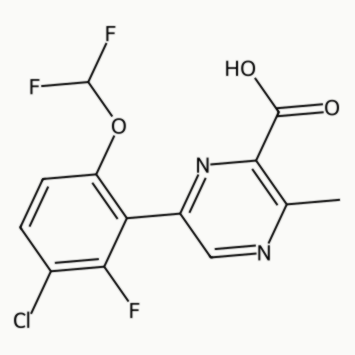 Cc1ncc(-c2c(OC(F)F)ccc(Cl)c2F)nc1C(=O)O